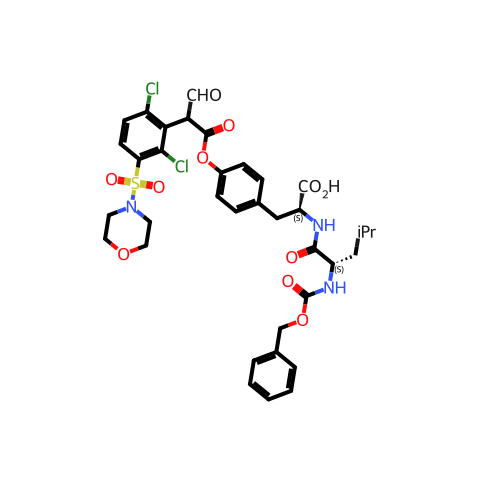 CC(C)C[C@H](NC(=O)OCc1ccccc1)C(=O)N[C@@H](Cc1ccc(OC(=O)C(C=O)c2c(Cl)ccc(S(=O)(=O)N3CCOCC3)c2Cl)cc1)C(=O)O